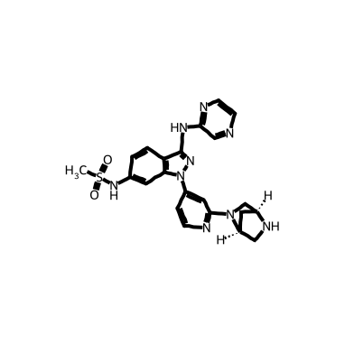 CS(=O)(=O)Nc1ccc2c(Nc3cnccn3)nn(-c3ccnc(N4C[C@@H]5C[C@H]4CN5)c3)c2c1